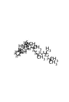 CC(C)=CCCC(C)=CCCC(C)=CCCC(C)=CCSCC(Nc1csc(C)n1)c1nc2ccccc2[nH]1